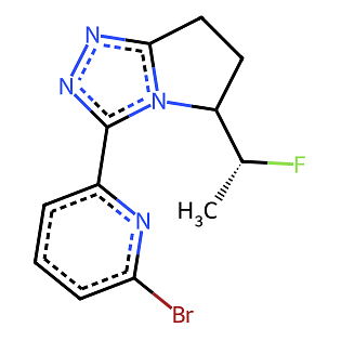 C[C@@H](F)C1CCc2nnc(-c3cccc(Br)n3)n21